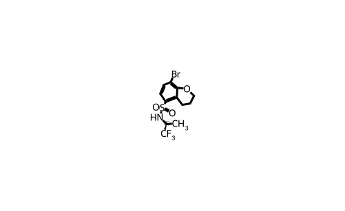 C[C@H](NS(=O)(=O)c1ccc(Br)c2c1CCCO2)C(F)(F)F